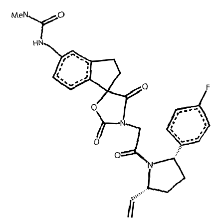 C=C[C@H]1CC[C@@H](c2ccc(F)cc2)N1C(=O)CN1C(=O)OC2(CCc3cc(NC(=O)NC)ccc32)C1=O